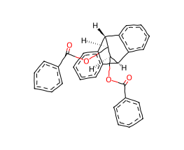 O=C(O[C@@H]1[C@H]2c3ccccc3[C@@H](c3ccccc32)[C@@H]1OC(=O)c1ccccc1)c1ccccc1